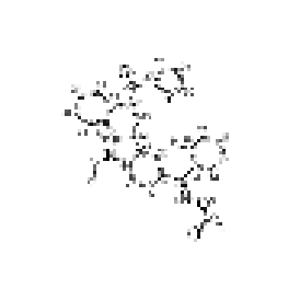 CCn1c2ccc(/C(=N/OC(C)=O)c3ccccc3C)cc2c2cc(C(=O)c3cccs3)c3ccccc3c21